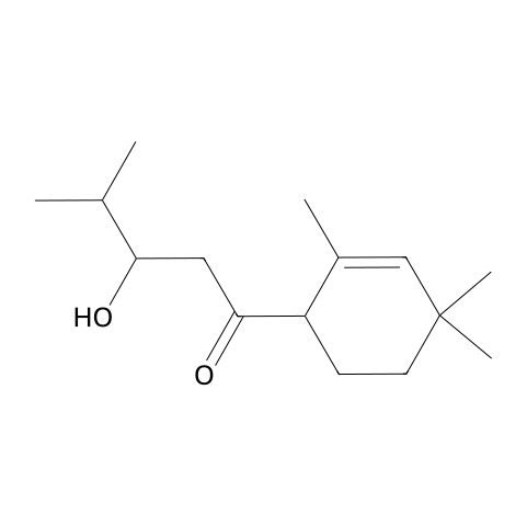 CC1=CC(C)(C)CCC1C(=O)CC(O)C(C)C